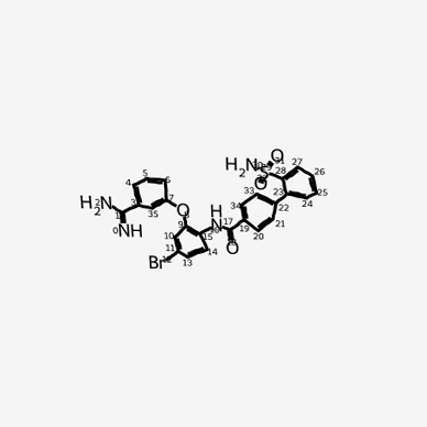 N=C(N)c1cccc(Oc2cc(Br)ccc2NC(=O)c2ccc(-c3ccccc3S(N)(=O)=O)cc2)c1